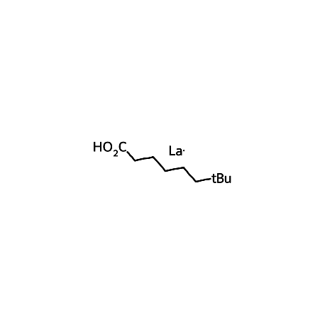 CC(C)(C)CCCCCC(=O)O.[La]